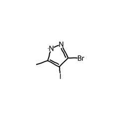 CC1=C(I)C(Br)=N[N]1